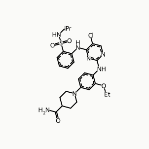 CCOc1cc(N2CCC(C(N)=O)CC2)ccc1Nc1ncc(Cl)c(Nc2ccccc2S(=O)(=O)NC(C)C)n1